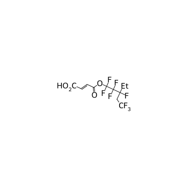 CCC(F)(CC(F)(F)F)C(F)(F)C(F)(F)OC(=O)C=CC(=O)O